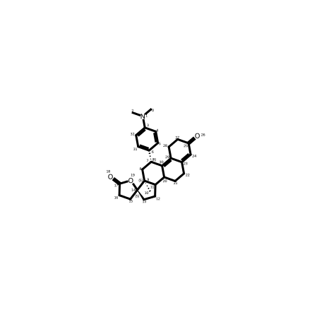 CN(C)c1ccc([C@H]2C[C@@]3(C)C(CC[C@]34CCC(=O)O4)C3CCC4=CC(=O)CCC4=C32)cc1